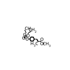 C=CCOP(=O)(OCC=C)Oc1ccc(/C=C(\C)C(=O)OC)cc1